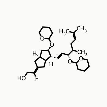 CC(C)=CCC(C)[C@@H](/C=C/[C@@H]1[C@H]2CC(=C(F)CO)C[C@H]2C[C@H]1OC1CCCCO1)OC1CCCCO1